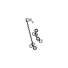 CCCCCCCCCCCCCCCCCCOC(=O)c1ccccc1.O=C(OCc1ccc(Cl)cc1)c1ccccc1